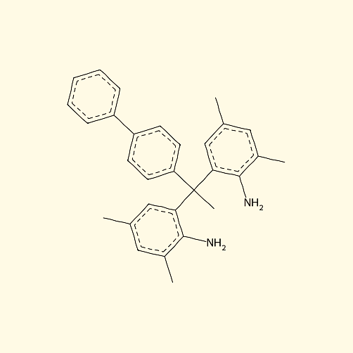 Cc1cc(C)c(N)c(C(C)(c2ccc(-c3ccccc3)cc2)c2cc(C)cc(C)c2N)c1